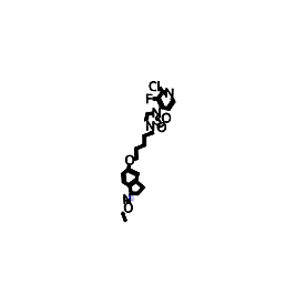 CCO/N=C1\CCc2cc(OCCCCCN3CCN(c4ccnc(Cl)c4F)S3(=O)=O)ccc21